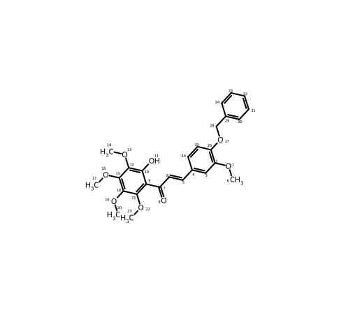 COc1cc(C=CC(=O)c2c(O)c(OC)c(OC)c(OC)c2OC)ccc1OCc1ccccc1